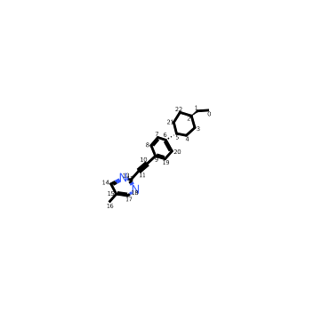 CC[C@H]1CC[C@H](c2ccc(C#Cc3ncc(C)cn3)cc2)CC1